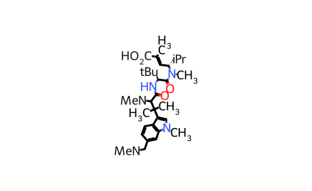 CNCc1ccc2c(C(C)(C)C(NC)C(=O)N[C@H](C(=O)N(C)[C@H](/C=C(\C)C(=O)O)C(C)C)C(C)(C)C)cn(C)c2c1